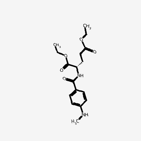 CCOC(=O)CC[C@H](NC(=O)c1ccc(NC)cc1)C(=O)OCC